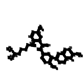 Cc1ccc(NC(=O)c2cc(C(F)(F)F)ccc2NCCCCN(C)C)cc1-c1ccc2nc(N)ncc2c1